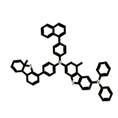 CC1CC(N(c2ccc(C3=C4SC5(C)C=CC=CC5C4CC=C3)cc2)c2ccc(-c3cccc4ccccc34)cc2)=Cc2sc3ccc(N(c4ccccc4)c4ccccc4)cc3c21